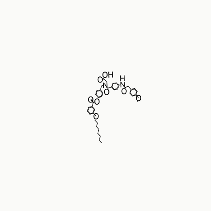 CCCCCCCCOc1cccc(C(=O)Oc2ccc(CN(CC(=O)O)C(=O)c3ccc(NC(=O)Cc4ccc(OC)cc4)cc3)cc2)c1